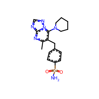 Cc1nc2ncnn2c(N2CCCCC2)c1Cc1ccc(S(N)(=O)=O)cc1